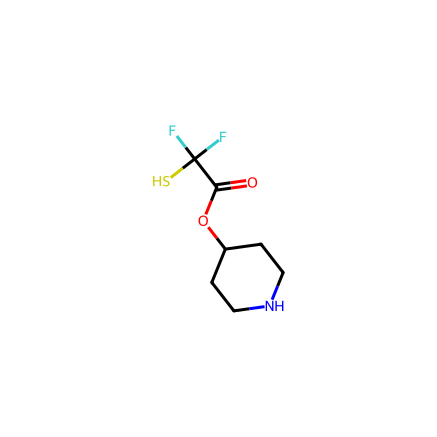 O=C(OC1CCNCC1)C(F)(F)S